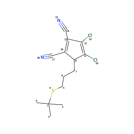 CC(C)(C)SCCCC1C(Cl)=C(Cl)C(C#N)=C1C#N